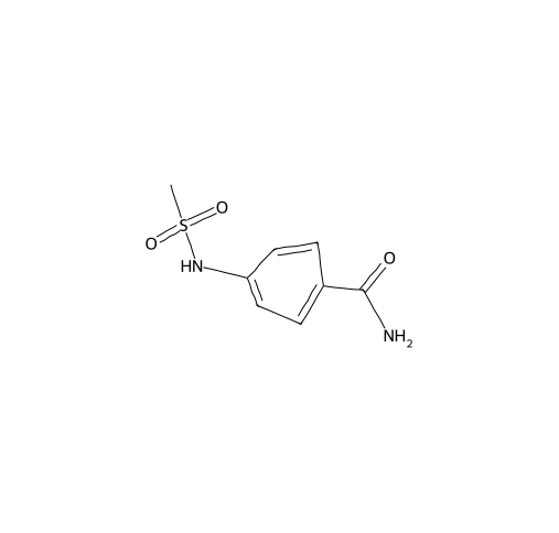 CS(=O)(=O)Nc1ccc(C(N)=O)cc1